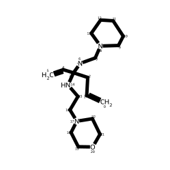 C=CCC(C=C)([N]CN1CCCCC1)NCCN1CCOCC1